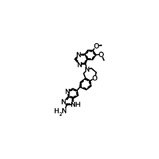 COc1cc2ncnc(N3CCOc4ccc(-c5cnc6nc(N)[nH]c6c5)cc4C3)c2cc1OC